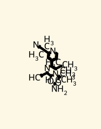 C#CC1=NC(c2ccnc(C(C)(C)C#N)c2)=C(C(C)(C)C)N(C(C)(C)C)C1OC(N)=O